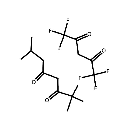 CC(C)CC(=O)CC(=O)C(C)(C)C.O=C(CC(=O)C(F)(F)F)C(F)(F)F